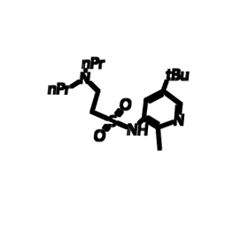 CCCN(CCC)CCS(=O)(=O)Nc1cc(C(C)(C)C)cnc1C